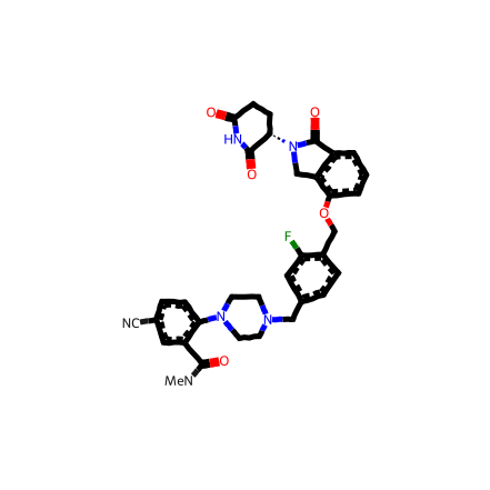 CNC(=O)c1cc(C#N)ccc1N1CCN(Cc2ccc(COc3cccc4c3CN([C@H]3CCC(=O)NC3=O)C4=O)c(F)c2)CC1